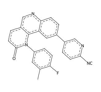 [C-]#[N+]c1ccc(-c2ccc3ncc4ccc(=O)n(-c5ccc(F)c(C)c5)c4c3c2)cn1